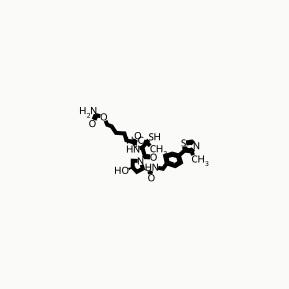 Cc1ncsc1-c1ccc(CNC(=O)[C@@H]2C[C@@H](O)CN2C(=O)C(NC(=O)CCCCCOC(N)=O)C(C)(C)S)cc1